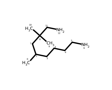 CC(CCCCN)CC(C)(C)CN